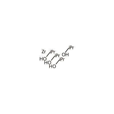 CC(C)O.CC(C)O.CC(C)O.CC(C)O.[Zr]